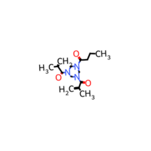 C=C(C)C(=O)N1CN(C(=O)CCC)CN(C(=O)C(=C)C)C1